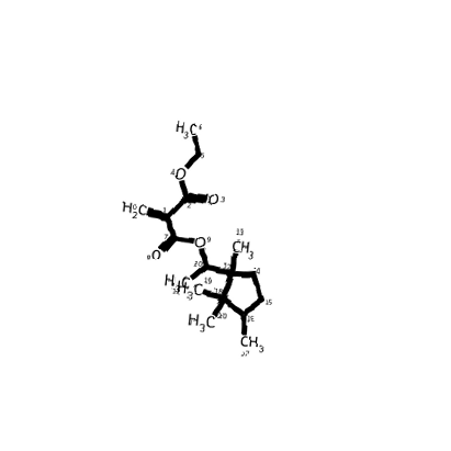 C=C(C(=O)OCC)C(=O)OC(C)C1(C)CCC(C)C1(C)C